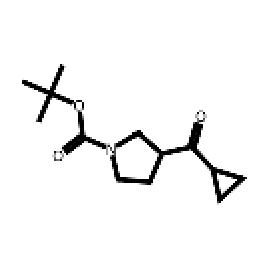 CC(C)(C)OC(=O)N1CCC(C(=O)C2CC2)C1